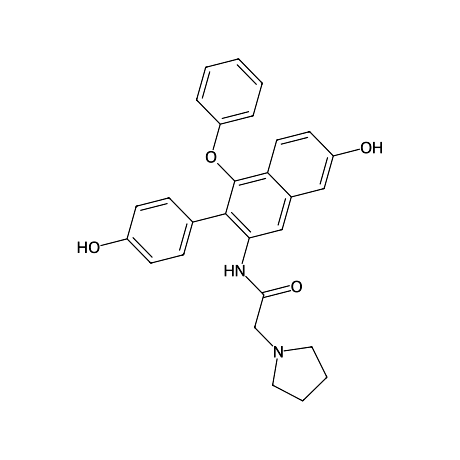 O=C(CN1CCCC1)Nc1cc2cc(O)ccc2c(Oc2ccccc2)c1-c1ccc(O)cc1